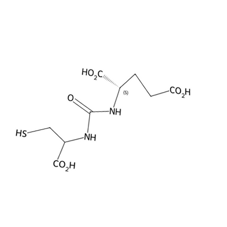 O=C(O)CC[C@H](NC(=O)NC(CS)C(=O)O)C(=O)O